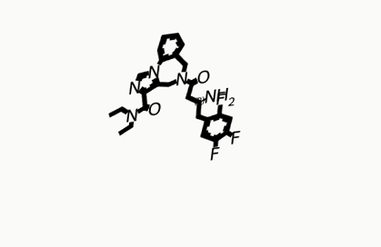 CCN(CC)C(=O)c1ncn2c1CN(C(=O)C[C@H](N)Cc1cc(F)c(F)cc1F)Cc1ccccc1-2